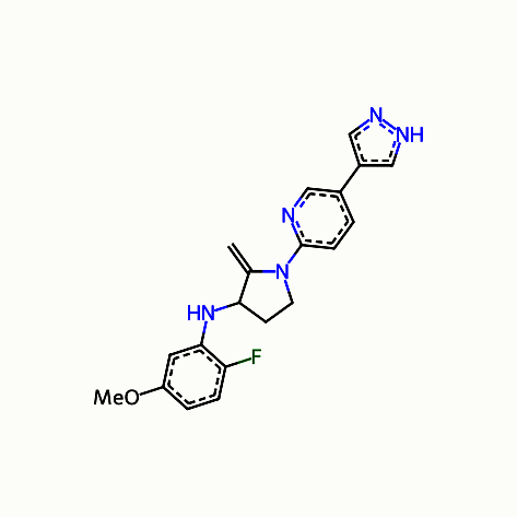 C=C1C(Nc2cc(OC)ccc2F)CCN1c1ccc(-c2cn[nH]c2)cn1